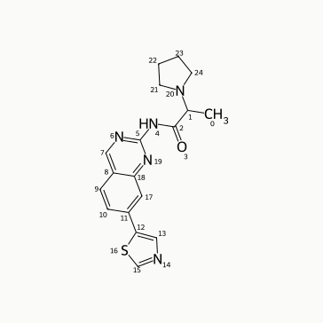 CC(C(=O)Nc1ncc2ccc(-c3cncs3)cc2n1)N1CCCC1